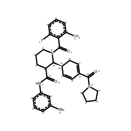 Cc1cccc(F)c1C(=O)N1CCCC(C(=O)Nc2cccc(C(C)(C)C)c2)C1[C@@H]1C=CC(C(=O)N2CCCC2)=CC1